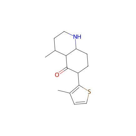 Cc1ccsc1C1CCC2NCCC(C)C2C1=O